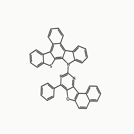 c1ccc(-c2nc(-n3c4ccccc4c4c5ccccc5c5c6ccccc6sc5c43)nc3c2oc2ccc4ccccc4c23)cc1